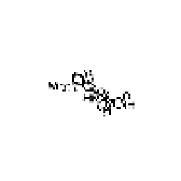 COc1cccc2[nH]c(C(=O)N[C@@H](CC(C)C)C(=O)N[C@@]3(C#N)CCNC(=O)C3)cc12